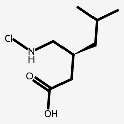 CC(C)C[C@H](CNCl)CC(=O)O